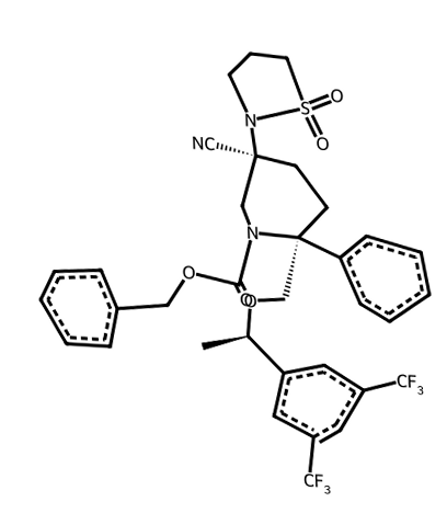 C[C@@H](OC[C@@]1(c2ccccc2)CC[C@](C#N)(N2CCCS2(=O)=O)CN1C(=O)OCc1ccccc1)c1cc(C(F)(F)F)cc(C(F)(F)F)c1